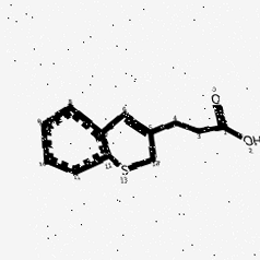 O=C(O)CCC1=Cc2ccccc2SC1